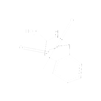 O=C1CCC(=O)C2c3ccccc3C1NC2C(=O)O